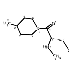 CN[C@@H](CO)C(=O)N1CCC(C)CC1